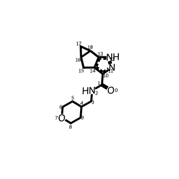 O=C(NCC1CCOCC1)c1n[nH]c2c1CC1CC21